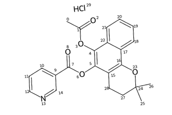 CC(=O)Oc1c(OC(=O)c2cccnc2)c2c(c3ccccc13)OC(C)(C)CC2.Cl